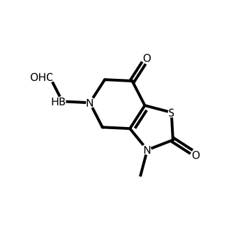 Cn1c2c(sc1=O)C(=O)CN(BC=O)C2